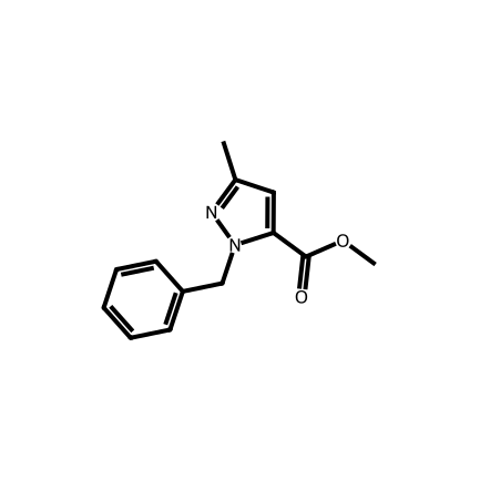 COC(=O)c1cc(C)nn1Cc1ccccc1